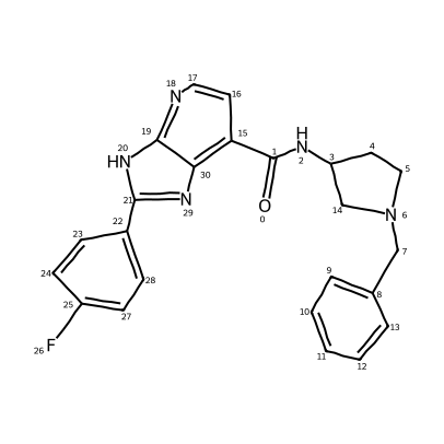 O=C(NC1CCN(Cc2ccccc2)C1)c1ccnc2[nH]c(-c3ccc(F)cc3)nc12